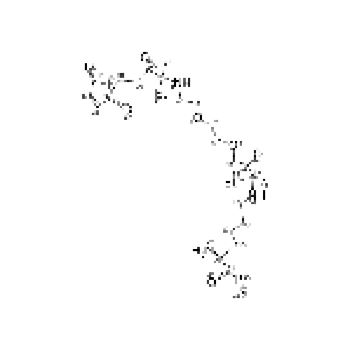 CCC(C)(NCCOCCOCC(=O)C(C)(CC)NCCCC[C@H](N)C(=O)P=S)C(=O)CCN1C(=O)C=CC1=O